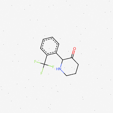 O=C1CCCNC1c1ccccc1C(F)(F)F